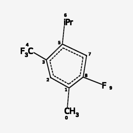 Cc1cc(C(F)(F)F)c(C(C)C)cc1F